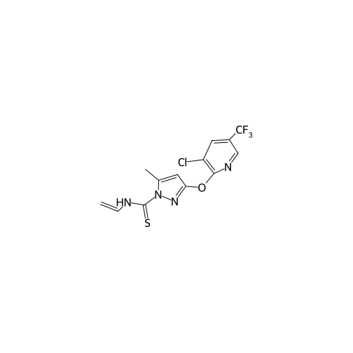 C=CNC(=S)n1nc(Oc2ncc(C(F)(F)F)cc2Cl)cc1C